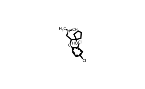 CN(C)CC(Oc1ccc(Cl)cc1Cl)C1(O)CCCC1